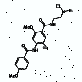 CCN(CC)CCNC(=O)c1cc([131I])c(NC(=O)c2ccc(OC)cc2)cc1OC